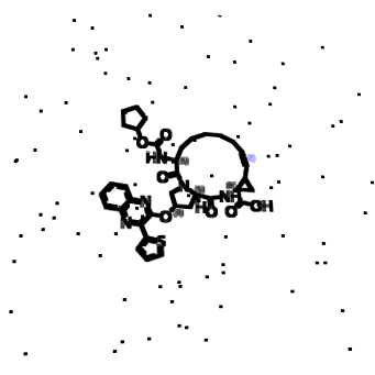 O=C(N[C@H]1CCCCC/C=C\C2C[C@@]2(C(=O)O)NC(=O)[C@@H]2C[C@@H](Oc3nc4ccccc4nc3-c3cccs3)CN2C1=O)OC1CCCC1